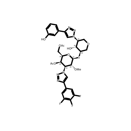 CO[C@@H]1[C@@H](n2cc(-c3cc(F)c(F)c(F)c3)nn2)[C@@H](OC(C)=O)[C@@H](COC(C)=O)O[C@H]1S[C@@H]1COC[C@H](n2cc(-c3cccc(O)c3)nn2)[C@H]1O